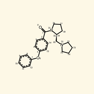 O=C(c1ccc(Oc2ccccc2)cc1)N1CCC[C@H]1CN1CCCC1